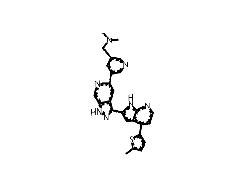 Cc1ccc(-c2ccnc3[nH]c(-c4n[nH]c5cnc(-c6cncc(CN(C)C)c6)cc45)cc23)s1